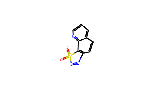 O=S1(=O)N=Nc2ccc3cccnc3c21